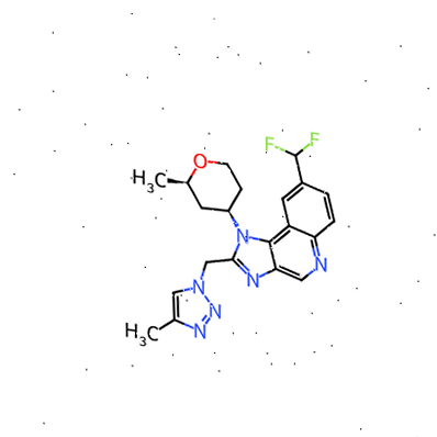 Cc1cn(Cc2nc3cnc4ccc(C(F)F)cc4c3n2[C@@H]2CCO[C@H](C)C2)nn1